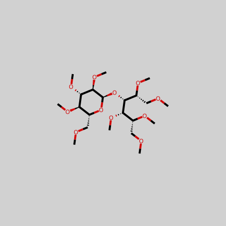 COC[C@@H](OC)[C@H](OC)[C@H](O[C@H]1O[C@H](COC)[C@@H](OC)[C@H](OC)[C@H]1OC)[C@@H](COC)OC